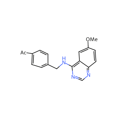 COc1ccc2ncnc(NCc3ccc(C(C)=O)cc3)c2c1